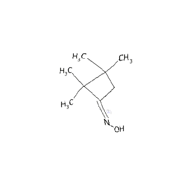 CC1(C)C/C(=N\O)C1(C)C